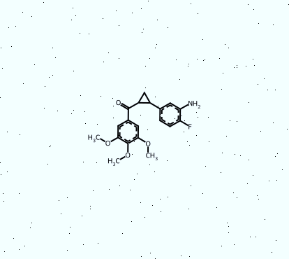 COc1cc(C(=O)C2CC2c2ccc(F)c(N)c2)cc(OC)c1OC